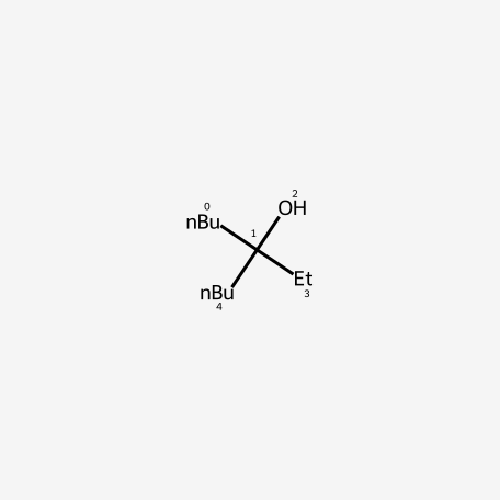 CCCCC(O)(CC)CCCC